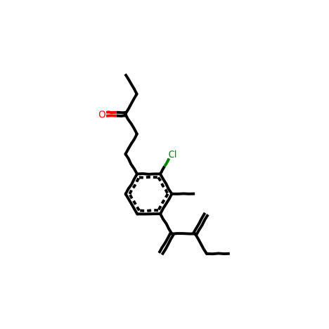 C=C(CC)C(=C)c1ccc(CCC(=O)CC)c(Cl)c1C